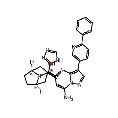 Nc1cc([C@@]2(O)C[C@H]3CC[C@@H](C2)N3C(=O)c2nnc[nH]2)nc2c(-c3ccc(-c4ccccc4)nc3)cnn12